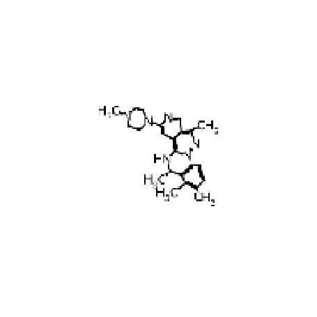 Cc1cccc([C@@H](C)Nc2nnc(C)c3cnc(N4CCN(C)CC4)cc23)c1C